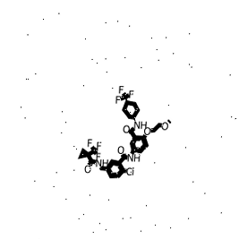 COCCOc1ccc(NC(=O)c2cc(CNC(=O)C3(C(F)(F)F)CC3)ccc2Cl)cc1C(=O)N[C@H]1CC[C@H](C(F)(F)F)CC1